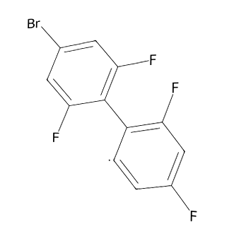 Fc1c[c]c(-c2c(F)cc(Br)cc2F)c(F)c1